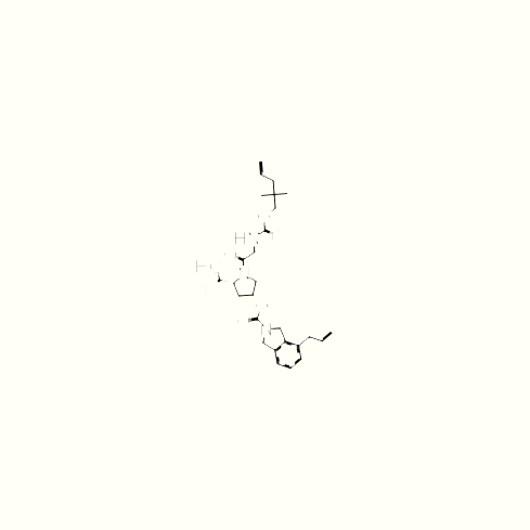 C=CCc1cccc2c1CN(C(=O)O[C@@H]1C[C@@H](C(=O)O)N(C(=O)CNC(=O)OCC(C)(C)CC=C)C1)C2